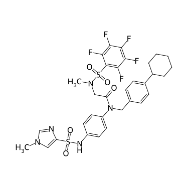 CN(CC(=O)N(Cc1ccc(C2CCCCC2)cc1)c1ccc(NS(=O)(=O)c2cn(C)cn2)cc1)S(=O)(=O)c1c(F)c(F)c(F)c(F)c1F